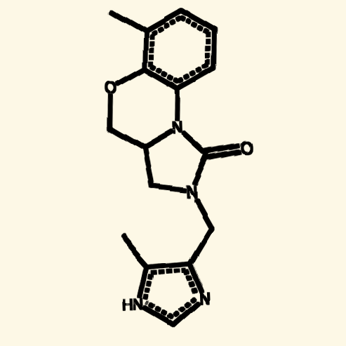 Cc1cccc2c1OCC1CN(Cc3nc[nH]c3C)C(=O)N21